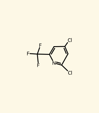 FC(F)(F)c1cc(Cl)cc(Cl)n1